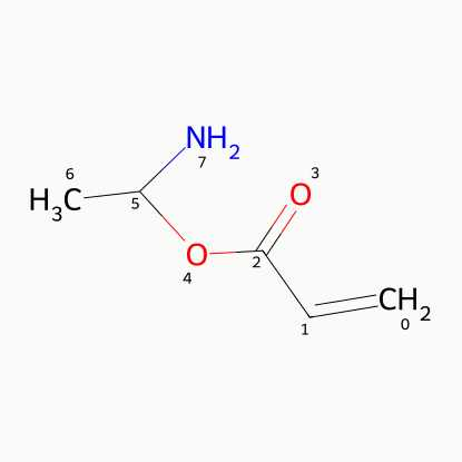 C=CC(=O)OC(C)N